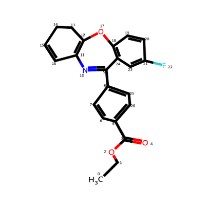 CCOC(=O)c1ccc(C2=NC3=C(CCC=C3)Oc3ccc(F)cc32)cc1